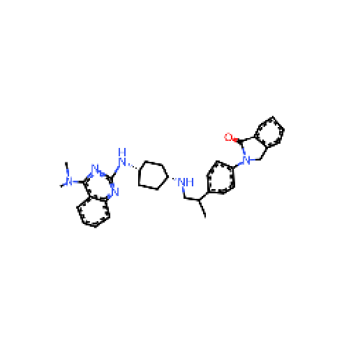 CC(CN[C@H]1CC[C@@H](Nc2nc(N(C)C)c3ccccc3n2)CC1)c1ccc(N2Cc3ccccc3C2=O)cc1